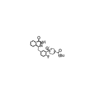 CC(C)(C)C(=O)P1CC[N+]([O-])(c2cc(Cc3n[nH]c(=O)c4ccccc34)ccc2F)CC1